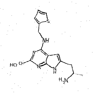 C[C@H](N)Cc1cc2c(NCc3cccs3)nc(Cl)nc2[nH]1.Cl